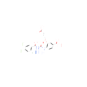 COC(=O)CCCOc1cc(C(=O)O)ccc1NC(=O)NC(=O)c1cc(F)c(F)cc1Cl